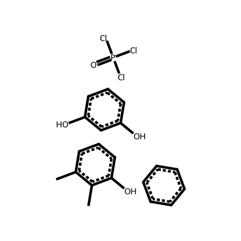 Cc1cccc(O)c1C.O=P(Cl)(Cl)Cl.Oc1cccc(O)c1.c1ccccc1